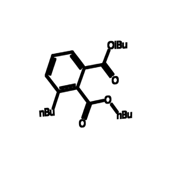 CCCCOC(=O)c1c(CCCC)cccc1C(=O)OCC(C)C